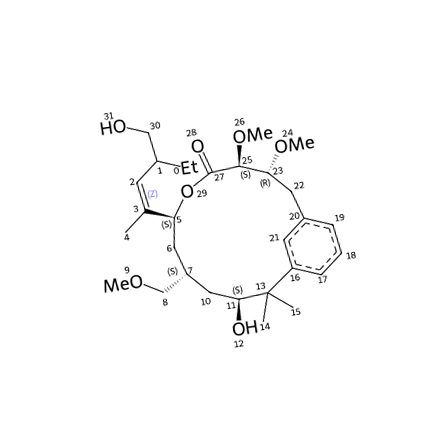 CCC(/C=C(/C)[C@@H]1C[C@@H](COC)C[C@H](O)C(C)(C)c2cccc(c2)C[C@@H](OC)[C@H](OC)C(=O)O1)CO